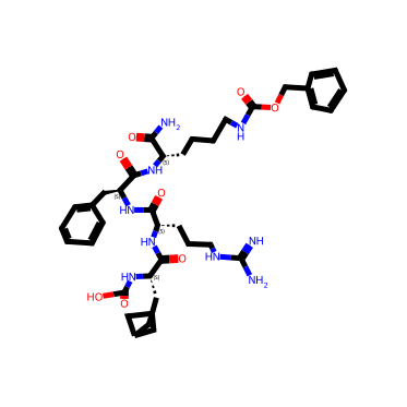 N=C(N)NCCC[C@H](NC(=O)[C@H](CC12CC(C1)C2)NC(=O)O)C(=O)N[C@@H](Cc1ccccc1)C(=O)N[C@@H](CCCCNC(=O)OCc1ccccc1)C(N)=O